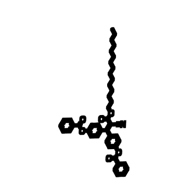 CCCCCCCCCCCCCCCOC(=O)C(C#N)=C(c1ccc(OC(=O)c2ccccc2)cc1)c1ccc(OC(=O)c2ccccc2)cc1